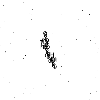 CC(C)(CNC(=O)Nc1ccc(CN=C=O)cc1)CNC(=O)Nc1ccc2c(c1)Cc1cc(NC(=O)NCC(C)(C)CNC(=O)Nc3ccc(CN=C=O)cc3)ccc1-2